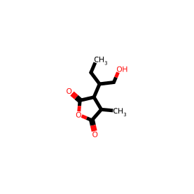 CCC(CO)C1C(=O)OC(=O)C1C